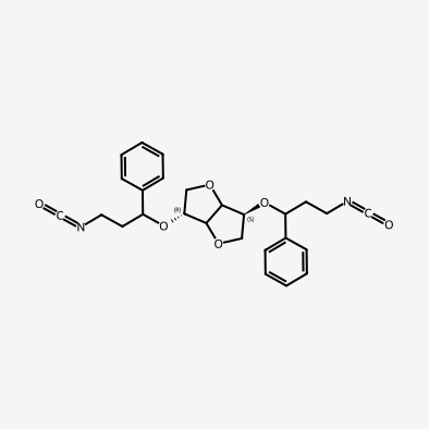 O=C=NCCC(O[C@H]1COC2C1OC[C@H]2OC(CCN=C=O)c1ccccc1)c1ccccc1